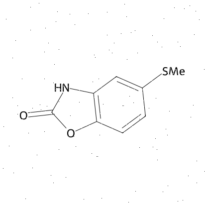 CSc1ccc2oc(=O)[nH]c2c1